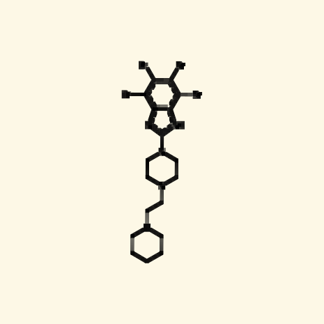 Brc1c(Br)c(Br)c2[nH]c(N3CCN(CCN4CCCCC4)CC3)nc2c1Br